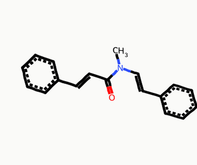 CN(/C=C/c1ccccc1)C(=O)/C=C/c1ccccc1